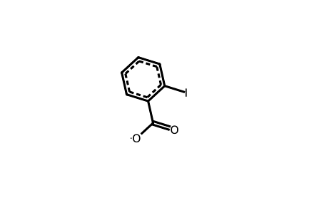 [O]C(=O)c1ccccc1I